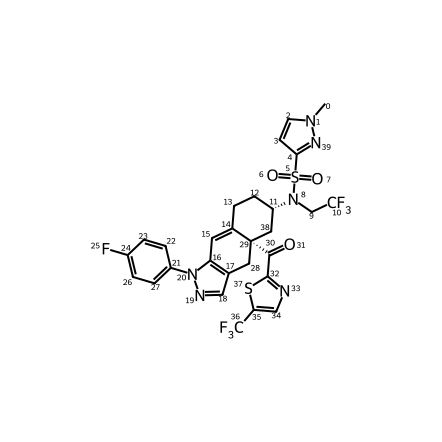 Cn1ccc(S(=O)(=O)N(CC(F)(F)F)[C@H]2CCC3=Cc4c(cnn4-c4ccc(F)cc4)C[C@]3(C(=O)c3ncc(C(F)(F)F)s3)C2)n1